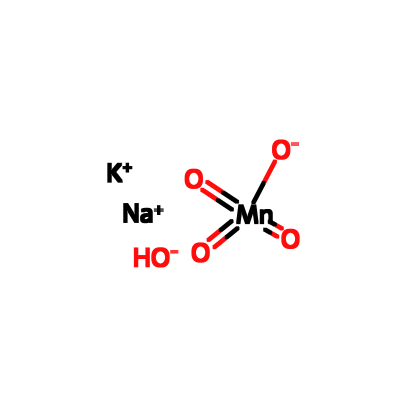 [K+].[Na+].[OH-].[O]=[Mn](=[O])(=[O])[O-]